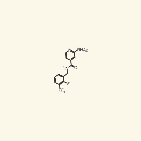 CC(=O)Nc1cc(C(=O)NCc2cccc(C(F)(F)F)c2F)ccn1